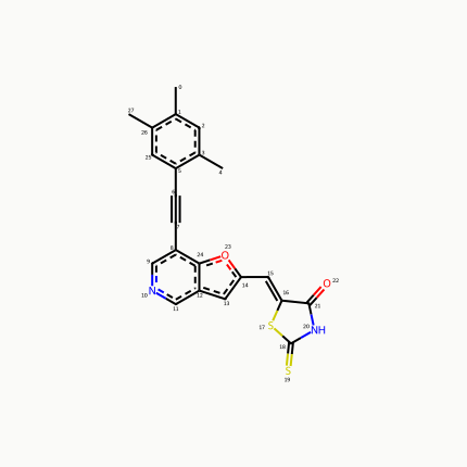 Cc1cc(C)c(C#Cc2cncc3cc(/C=C4\SC(=S)NC4=O)oc23)cc1C